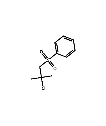 CC(C)(Cl)CS(=O)(=O)c1ccccc1